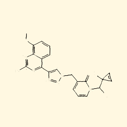 COc1cccc2c(-c3cn(Cc4cccn(C(C)C5(O)C=C5)c4=O)nn3)nc(N)nc12